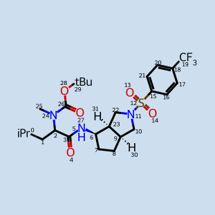 CC(C)CC(C(=O)N[C@@H]1CC[C@@H]2CN(S(=O)(=O)c3ccc(C(F)(F)F)cc3)C[C@@H]21)N(C)C(=O)OC(C)(C)C